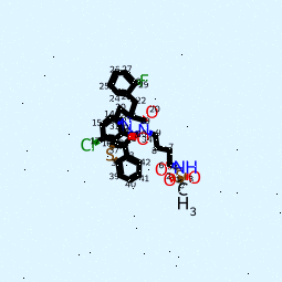 CS(=O)(=O)NC(=O)CCCN(Cc1cccc(Cl)c1)C(=O)C1(Cc2ccccc2F)CCN1C(=O)c1csc2ccccc12